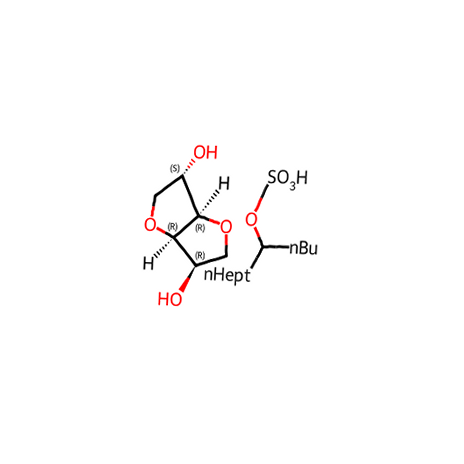 CCCCCCCC(CCCC)OS(=O)(=O)O.O[C@@H]1CO[C@H]2[C@@H]1OC[C@@H]2O